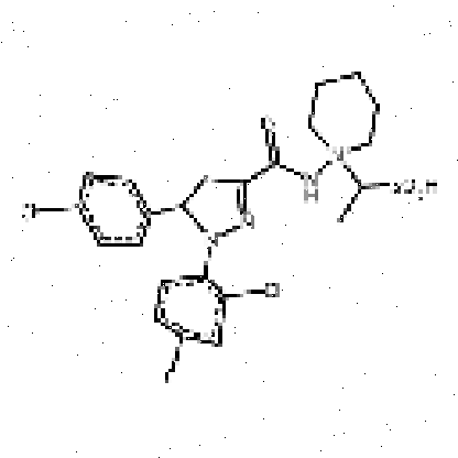 CC([N+]1(NC(=O)C2=NN(c3ccc(Cl)cc3Cl)C(c3ccc(Cl)cc3)C2)CCCCC1)S(=O)(=O)O